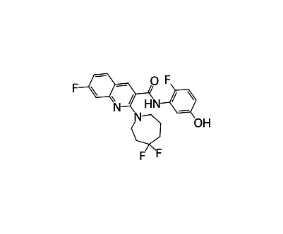 O=C(Nc1cc(O)ccc1F)c1cc2ccc(F)cc2nc1N1CCCC(F)(F)CC1